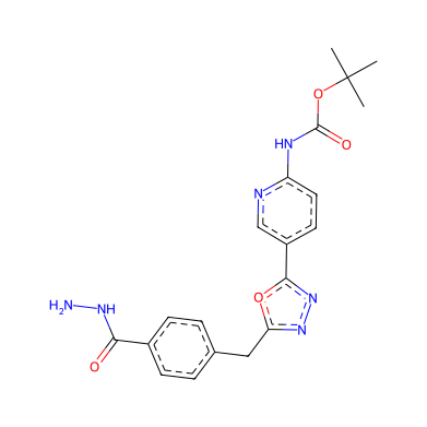 CC(C)(C)OC(=O)Nc1ccc(-c2nnc(Cc3ccc(C(=O)NN)cc3)o2)cn1